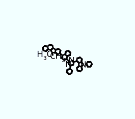 CC1(C)c2cc(-c3ccc(-c4nc(-c5ccccc5)cc(-c5cccc6c5c5ccccc5n6-c5ccccc5)n4)c4ccccc34)ccc2-c2ccc3ccccc3c21